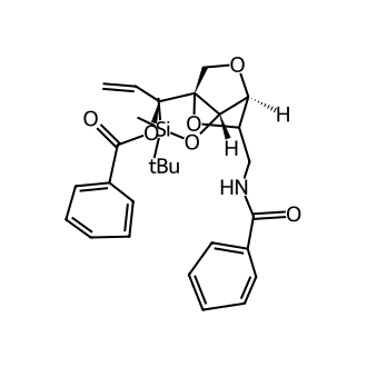 C=C[C@H](OC(=O)c1ccccc1)[C@@]12CO[C@@H](C(CNC(=O)c3ccccc3)O1)[C@@H]2O[Si](C)(C)C(C)(C)C